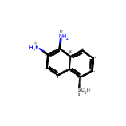 Nc1ccc2c(S(=O)(=O)O)cccc2c1N